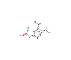 CCC1C2CC(CC(=O)Cl)C(C2)C1CC